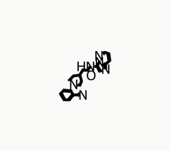 N#Cc1ccccc1N1CCC(CC(=O)Nc2cnc3cccnn23)CC1